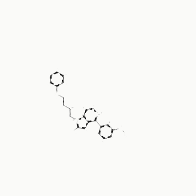 CCOc1cccc(-c2nccc3c2cc(C(=O)O)n3CCCCOc2ccccc2)c1